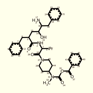 CC(C)C(NC(=O)C(Cc1ccccc1)CC(O)C(N)Cc1ccccc1)C(=O)N1CCC(N(C)C(=O)OC(=O)c2ccccc2)CC1